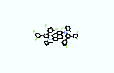 Cc1cccc(F)c1N(c1cc(-c2cc(F)cc(F)c2)cc(-c2cc(F)cc(F)c2)c1)c1ccc2ccc3c(N(c4cc(-c5cc(F)cc(F)c5)cc(-c5cc(F)cc(F)c5)c4)c4c(C)cccc4F)ccc4ccc1c2c43